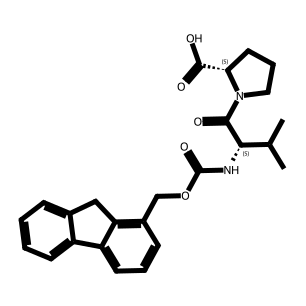 CC(C)[C@H](NC(=O)OCc1cccc2c1Cc1ccccc1-2)C(=O)N1CCC[C@H]1C(=O)O